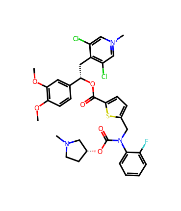 COc1ccc([C@H](Cc2c(Cl)c[n+](C)cc2Cl)OC(=O)c2ccc(CN(C(=O)O[C@@H]3CCN(C)C3)c3ccccc3F)s2)cc1OC